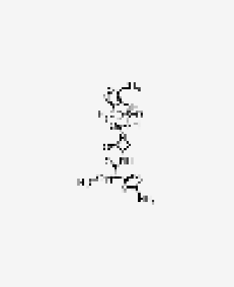 CO/N=C(\C(=O)N[C@H]1CN(C(=O)NS(=O)(=O)Nc2c(C)noc2C)C1=O)c1csc(N)n1